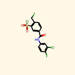 O=C(Nc1ccc(F)c(Cl)c1)c1ccc(CF)c(S(=O)(=O)Cl)c1